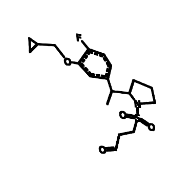 CC(c1ccc(F)c(OCC2CC2)c1)C1CCCN1S(=O)(=O)CCC=O